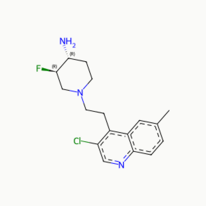 Cc1ccc2ncc(Cl)c(CCN3CC[C@@H](N)[C@H](F)C3)c2c1